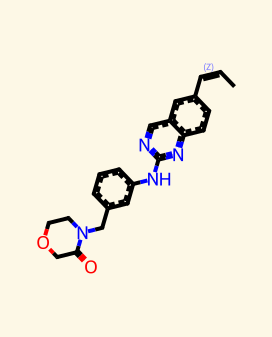 C/C=C\c1ccc2nc(Nc3cccc(CN4CCOCC4=O)c3)ncc2c1